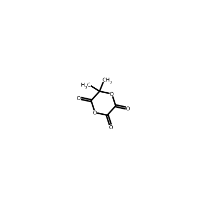 CC1(C)OC(=O)C(=O)OC1=O